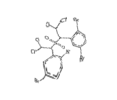 O=S(=O)(C(c1cc(Br)ccc1Br)C(Cl)Cl)C(c1cc(Br)ccc1Br)C(Cl)Cl